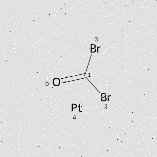 O=C(Br)Br.[Pt]